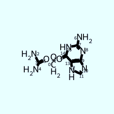 C=O.NC(N)=O.Nc1nc2nc[nH]c2c(=O)[nH]1